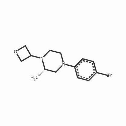 CC(C)c1ccc(N2CCN(C3COC3)[C@@H](C)C2)cc1